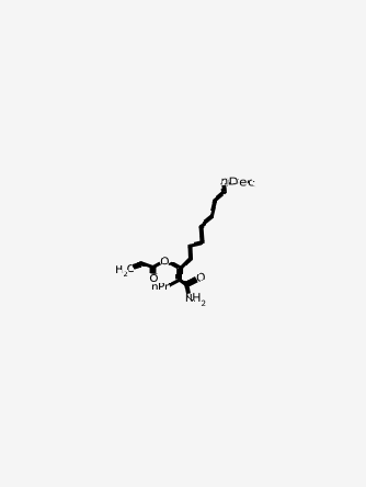 C=CC(=O)OC(CCCCCCCCCCCCCCCCC)=C(CCC)C(N)=O